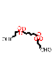 O=CCCCC(=O)OC(=O)CCCCC(=O)OC(=O)CCCC=O